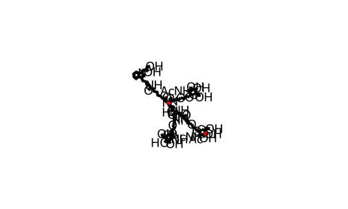 CC(=O)NC1C(OCCOCCNC(=O)CCC(NC(=O)CCC(NC(=O)CCCCCCC(=O)NCCCc2cn(CC(O)CO)c3ccccc23)C(=O)NCCOCCOC2OC(CO)C(O)C(O)C2NC(C)=O)C(=O)NCCOCCOC2OC(CO)C(O)C(O)C2NC(C)=O)OC(CO)C(O)C1O